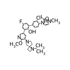 CN/C=C\N(C(=O)I)c1ccc(-c2cc(F)cc(-c3cnc(OC)c(N4CCC5(CCN5C(C)C)C4)c3)c2O)cc1Cl